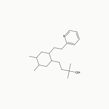 CC1CC(CCc2ccccn2)C(CCC(C)(C)O)CC1C